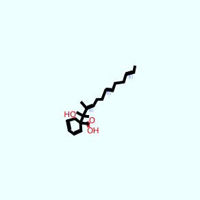 C/C=C/CC/C=C/CC/C=C(\C)C(C)(C)C1(C(=O)O)C=CC=CC1O